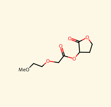 COCCOCC(=O)OC1CCOC1=O